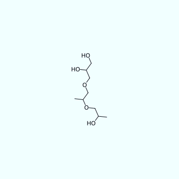 CC(O)COC(C)COCC(O)CO